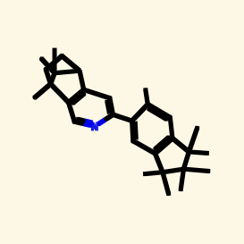 Cc1cc2c(cc1-c1cc3c(cn1)C1(C)CCC3C1(C)C)C(C)(C)C(C)(C)C2(C)C